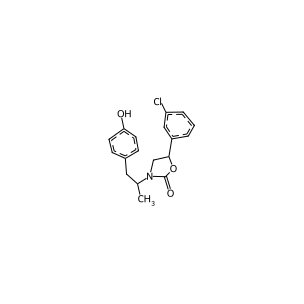 CC(Cc1ccc(O)cc1)N1CC(c2cccc(Cl)c2)OC1=O